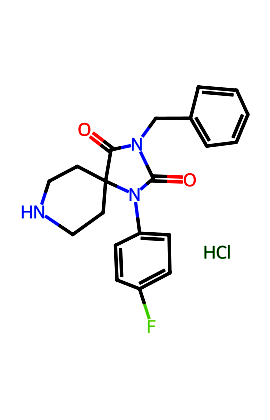 Cl.O=C1N(Cc2ccccc2)C(=O)C2(CCNCC2)N1c1ccc(F)cc1